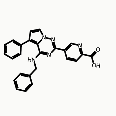 O=C(O)c1ccc(-c2nc(NCc3ccccc3)c3c(-c4ccccc4)ccn3n2)cn1